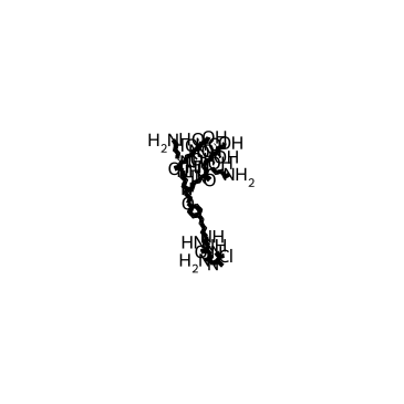 Cc1nc(N)c(C(=O)NC(=N)NCCCCc2ccc(OCCN(CCCNC(=O)[C@H](CCCCN)NC[C@H](O)[C@@H](O)[C@H](O)[C@H](O)CO)CCCNC(=O)[C@H](CCCCN)NC[C@H](O)[C@@H](O)[C@H](O)[C@H](O)CO)cc2)nc1Cl